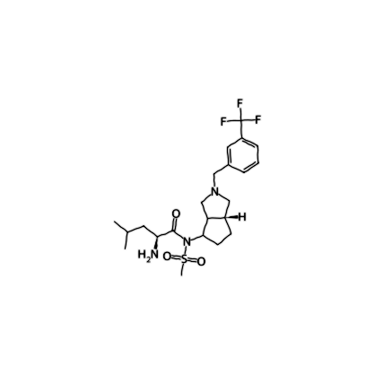 CC(C)C[C@H](N)C(=O)N(C1CC[C@H]2CN(Cc3cccc(C(F)(F)F)c3)CC12)S(C)(=O)=O